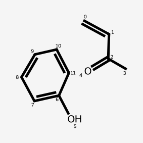 C=CC(C)=O.Oc1ccccc1